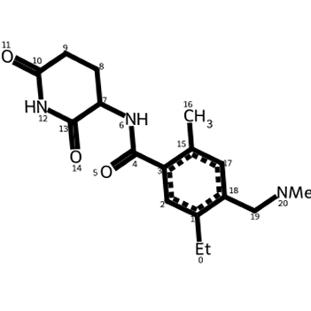 CCc1cc(C(=O)NC2CCC(=O)NC2=O)c(C)cc1CNC